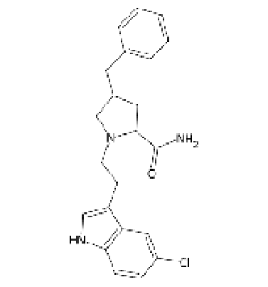 NC(=O)C1CC(Cc2ccccc2)CN1CCc1c[nH]c2ccc(Cl)cc12